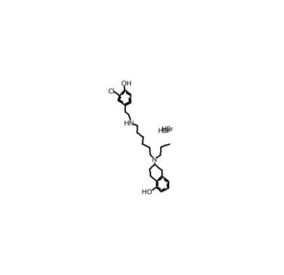 Br.Br.CCCN(CCCCCCNCCc1ccc(O)c(Cl)c1)[C@H]1CCc2c(O)cccc2C1